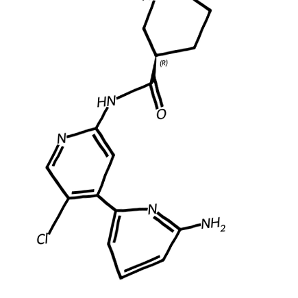 Nc1cccc(-c2cc(NC(=O)[C@@H]3CCCNC3)ncc2Cl)n1